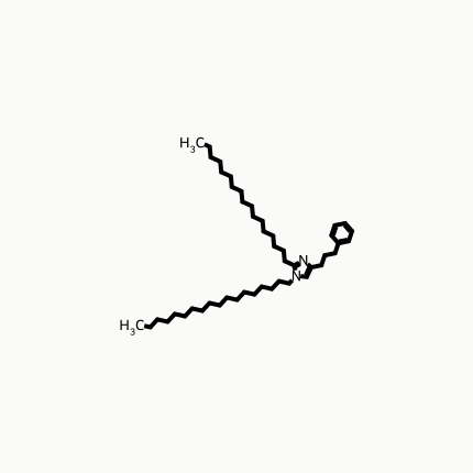 CCCCCCCCCCCCCCCCCCn1cc(CCCc2ccccc2)nc1CCCCCCCCCCCCCCCCC